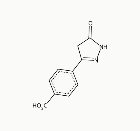 O=C1CC(c2ccc(C(=O)O)cc2)=NN1